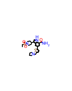 CCS(=O)(=O)N1CCC(c2c[nH]c3c(C(N)=O)cc(-c4ccc(CN5CCCC5)s4)cc23)CC1